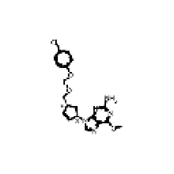 COc1nc(N)nc2c1ncn2[C@H]1C=C[C@@H](COPOc2ccc(Cl)cc2)C1